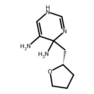 NC1=CNC=NC1(N)C[C@@H]1CCCO1